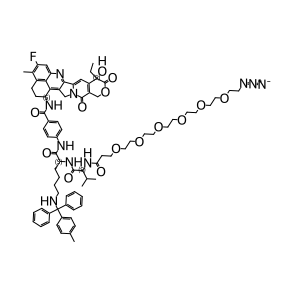 CC[C@@]1(O)C(=O)OCc2c1cc1n(c2=O)Cc2c-1nc1cc(F)c(C)c3c1c2[C@@H](NC(=O)c1ccc(NC(=O)[C@H](CCCCNC(c2ccccc2)(c2ccccc2)c2ccc(C)cc2)NC(=O)[C@@H](NC(=O)CCOCCOCCOCCOCCOCCOCCN=[N+]=[N-])C(C)C)cc1)CC3